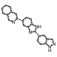 c1ccc2cc(-c3ccc4[nH]c(-c5ccc6[nH]ncc6c5)nc4c3)ncc2c1